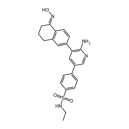 CCNS(=O)(=O)c1ccc(-c2cnc(N)c(-c3ccc4c(c3)CCC/C4=N\O)c2)cc1